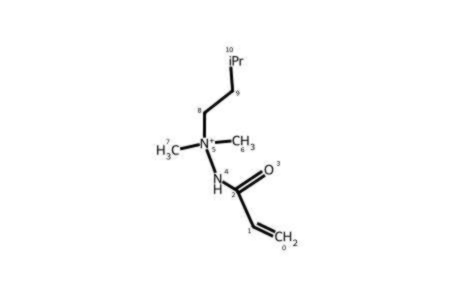 C=CC(=O)N[N+](C)(C)CCC(C)C